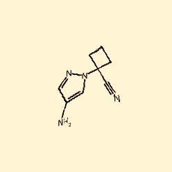 N#CC1(n2cc(N)cn2)CCC1